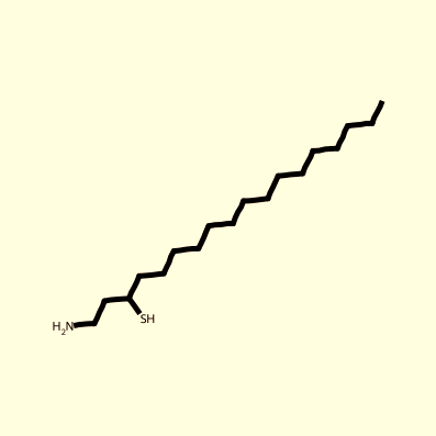 CCCCCCCCCCCCCCCC(S)CCN